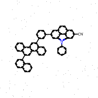 N#Cc1cc2ccc3cc(-c4cccc(-c5cc6c7ccccc7c(-c7cccc8ccccc78)cc6c6ccccc56)c4)cc4c3c2c(c1)n4-c1ccccc1